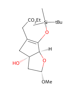 CCOC(=O)CC1=C(O[Si](C)(C)C(C)(C)C)[C@H]2O[C@H](OC)C[C@@]2(O)C1